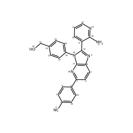 N#Cc1ccc(-c2ccc3nc(-c4cccnc4N)n(-c4ccc(CO)cc4)c3n2)cc1